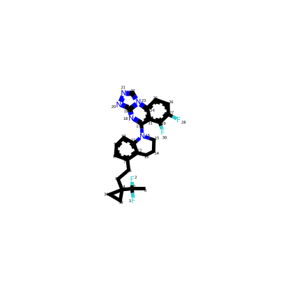 CC(F)(F)C1(CCc2cccc3c2CCCN3c2nc3nncn3c3ccc(F)c(F)c23)CC1